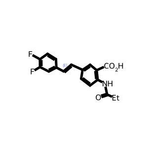 CCC(=O)Nc1ccc(/C=C/c2ccc(F)c(F)c2)cc1C(=O)O